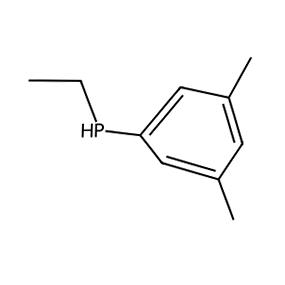 CCPc1cc(C)cc(C)c1